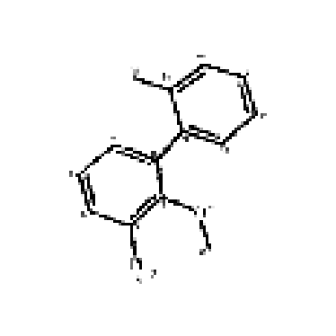 COc1c(P)cccc1-c1ccccc1C